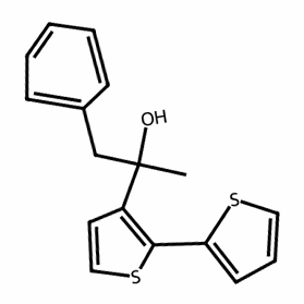 CC(O)(Cc1ccccc1)c1ccsc1-c1cccs1